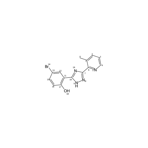 Cc1cccnc1-c1n[nH]c(-c2cc(Br)ccc2O)n1